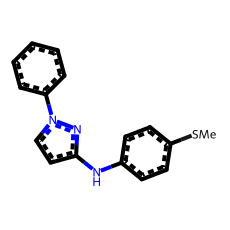 CSc1ccc(Nc2ccn(-c3ccccc3)n2)cc1